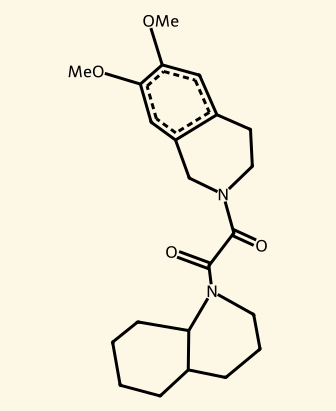 COc1cc2c(cc1OC)CN(C(=O)C(=O)N1CCCC3CCCCC31)CC2